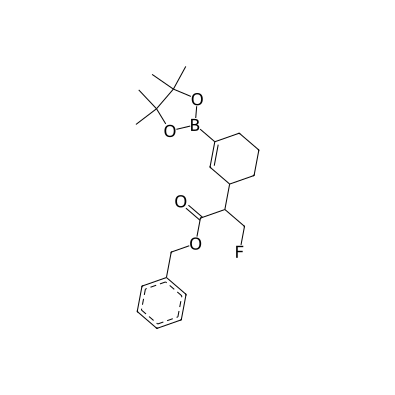 CC1(C)OB(C2=CC(C(CF)C(=O)OCc3ccccc3)CCC2)OC1(C)C